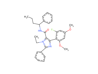 CCCC(NC(=O)c1c(-c2c(F)cc(OC)cc2OC)nc(-c2ccccc2)n1CC)c1ccccc1